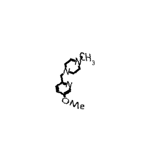 COc1ccc(CN2CCN(C)CC2)nc1